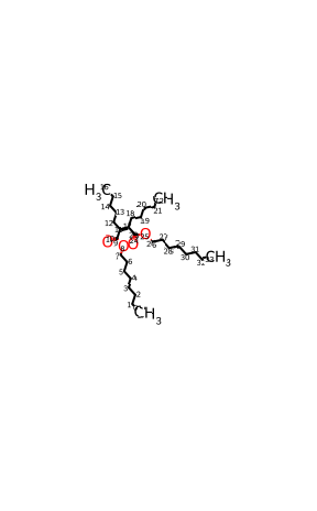 CCCCCCCCOC(=O)C(CCCCC)=C(CCCCC)C(=O)OCCCCCCCC